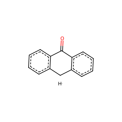 O=C1c2ccccc2Cc2ccccc21.[H]